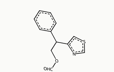 O=COCC(c1ccccc1)c1cscn1